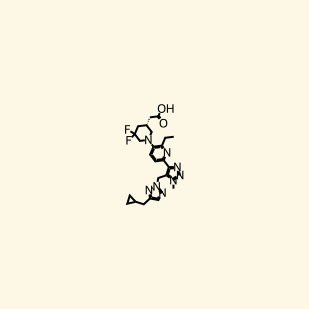 CCc1nc(-c2nnn(C)c2Cn2ncc(CC3CC3)n2)ccc1N1C[C@@H](CC(=O)O)CC(F)(F)C1